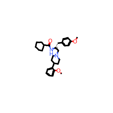 COc1ccc(C[C@H](CN2CCC(c3ccccc3OC)CC2)NC(=O)C2CCCCC2)cc1